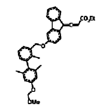 CCOC(=O)C=C=C1c2ccccc2-c2cc(OCc3cccc(-c4c(C)cc(OCOC)cc4C)c3C)ccc21